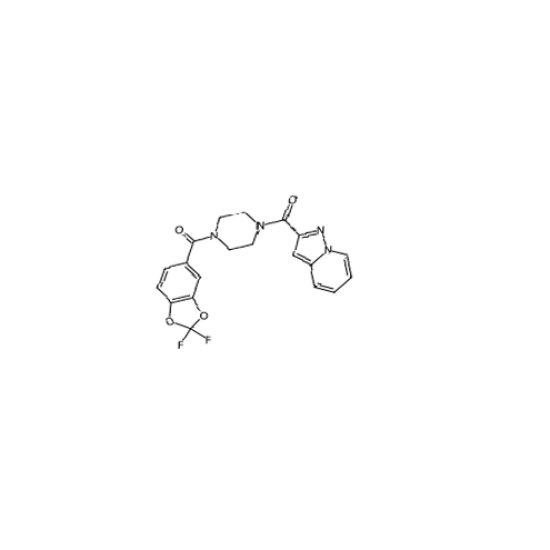 O=C(c1ccc2c(c1)OC(F)(F)O2)N1CCN(C(=O)c2cc3ccccn3n2)CC1